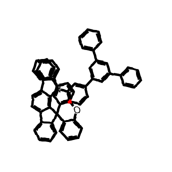 c1ccc(-c2cc(-c3ccccc3)cc(-c3cccc(-n4c5ccccc5c5ccc6c(c54)C4(c5ccccc5Oc5ccc(-c7ccccc7)cc54)c4ccccc4-6)c3)c2)cc1